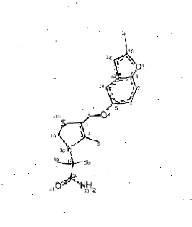 CC1=C(COc2ccc3oc(C)cc3c2)SCN1C(C)(C)C(N)=O